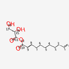 C=CCCCCCCCCC(=O)OC(=O)C(O)CO